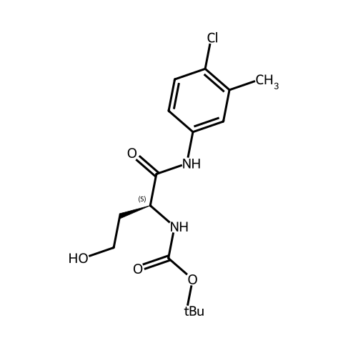 Cc1cc(NC(=O)[C@H](CCO)NC(=O)OC(C)(C)C)ccc1Cl